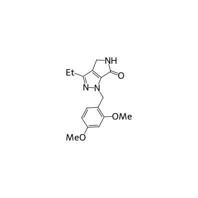 CCc1nn(Cc2ccc(OC)cc2OC)c2c1CNC2=O